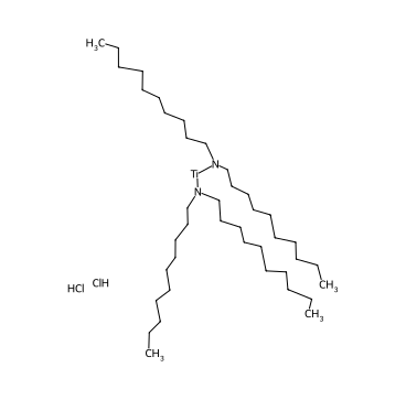 CCCCCCCCCC[N](CCCCCCCCCC)[Ti][N](CCCCCCCCCC)CCCCCCCCCC.Cl.Cl